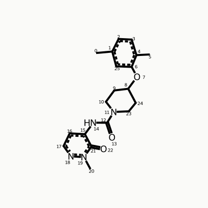 Cc1ccc(C)c(OC2CCN(C(=O)Nc3ccnn(C)c3=O)CC2)c1